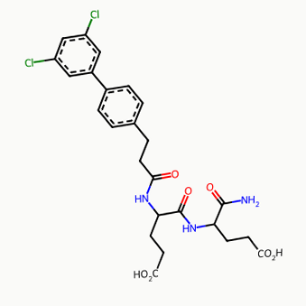 NC(=O)C(CCC(=O)O)NC(=O)C(CCC(=O)O)NC(=O)CCc1ccc(-c2cc(Cl)cc(Cl)c2)cc1